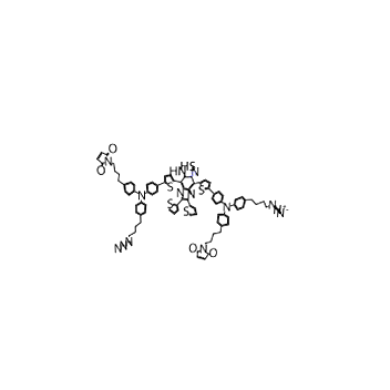 [N-]=[N+]=NCCCCc1ccc(N(c2ccc(CCCCN3C(=O)C=CC3=O)cc2)c2ccc(-c3ccc(C4=c5nc(-c6cccs6)c(-c6cccs6)nc5=C(c5ccc(-c6ccc(N(c7ccc(CCCCN=[N+]=[N-])cc7)c7ccc(CCCCN8C(=O)C=CC8=O)cc7)cc6)s5)/C(=N/S)C4=N)s3)cc2)cc1